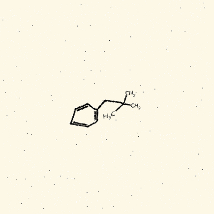 [CH2]C(C)(C)[CH]c1ccccc1